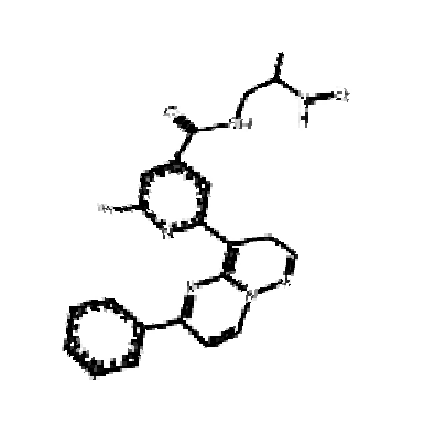 CCNC(C)CNC(=O)c1cc(C2=C3N=C(c4ccccc4)C=CN3N=CC2)nc(C(C)C)c1